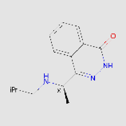 CC(C)CN[C@H](C)c1n[nH]c(=O)c2ccccc12